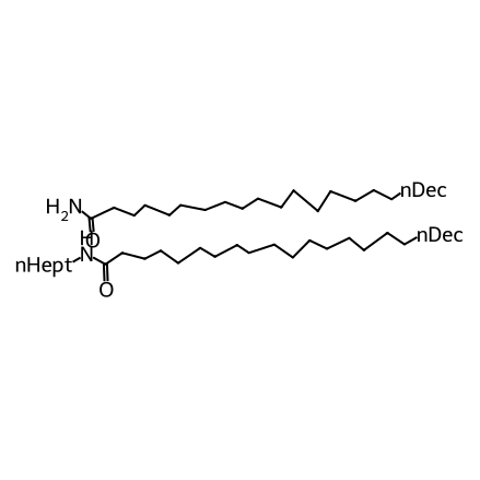 CCCCCCCCCCCCCCCCCCCCCCCCCCC(=O)NCCCCCCC.CCCCCCCCCCCCCCCCCCCCCCCCCCC(N)=O